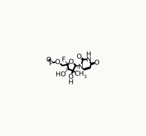 C[C@]1(O)[C@H](n2ccc(=O)[nH]c2=O)O[C@](F)(COP=O)[C@H]1O